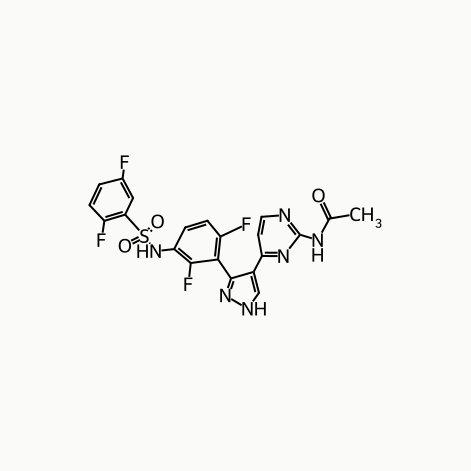 CC(=O)Nc1nccc(-c2c[nH]nc2-c2c(F)ccc(NS(=O)(=O)c3cc(F)ccc3F)c2F)n1